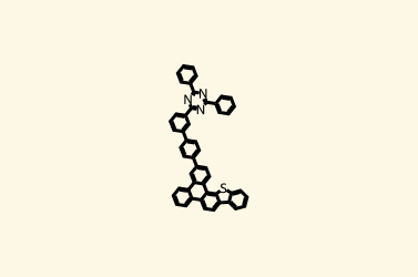 c1ccc(-c2nc(-c3ccccc3)nc(-c3cccc(-c4ccc(-c5ccc6c(c5)c5ccccc5c5ccc7c8ccccc8sc7c56)cc4)c3)n2)cc1